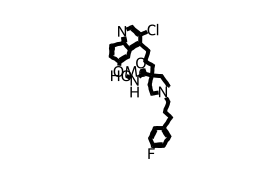 COc1ccc2ncc(Cl)c(CCCC3(C(=O)NO)CCN(CCCc4ccc(F)cc4)CC3)c2c1